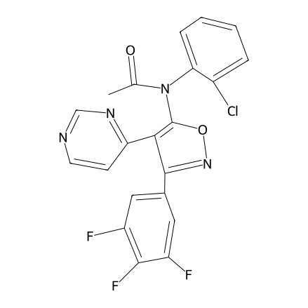 CC(=O)N(c1ccccc1Cl)c1onc(-c2cc(F)c(F)c(F)c2)c1-c1ccncn1